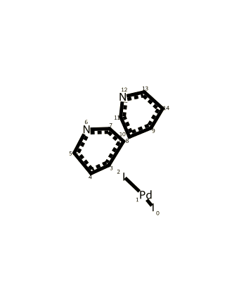 [I][Pd][I].c1ccncc1.c1ccncc1